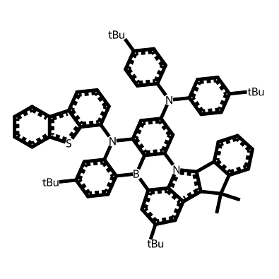 CC(C)(C)c1ccc(N(c2ccc(C(C)(C)C)cc2)c2cc3c4c(c2)-n2c5c(c6cc(C(C)(C)C)cc(c62)B4c2ccc(C(C)(C)C)cc2N3c2cccc3c2sc2ccccc23)C(C)(C)c2ccccc2-5)cc1